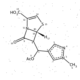 CC(=O)OC(c1cnn(C)c1)C1C(=O)N2C(C(=O)O)=CS[C@H]12